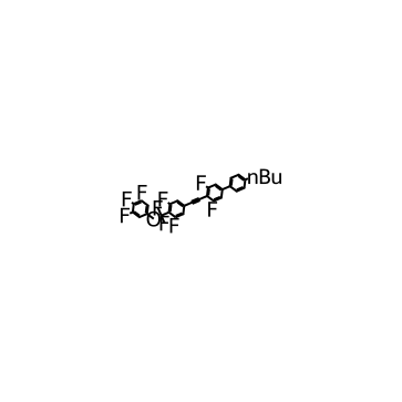 CCCCc1ccc(-c2cc(F)c(C#Cc3cc(F)c(C(F)(F)Oc4cc(F)c(F)c(F)c4)c(F)c3)c(F)c2)cc1